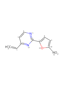 C=Cc1ccnc(-c2ccc([N+](=O)[O-])o2)n1